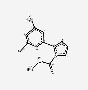 Cc1cc(N)cc(-c2cccn2C(=O)OC(C)(C)C)c1